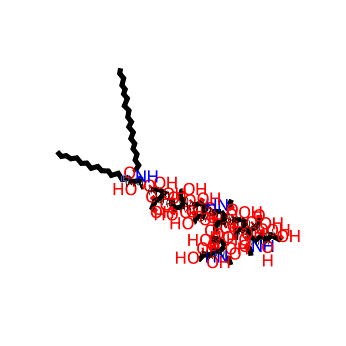 CCCCCCCCCCCCC/C=C/[C@@H](O)[C@H](CO[C@@H]1OC(CO)[C@@H](O[C@@H]2OC(CO)[C@H](O[C@@H]3OC(CO)[C@H](O)[C@H](O[C@@H]4OC(CO[C@]5(C(=O)O)CC(O)[C@@H](NC(C)=O)C([C@H](O)[C@H](O)CO)O5)[C@H](O)[C@H](O[C@@H]5OC(CO)[C@H](O)[C@H](O[C@]6(C(=O)O)CC(O)[C@@H](NC(C)=O)C([C@H](O)[C@H](O)CO)O6)C5O)C4NC(C)=O)C3O)[C@H](O)C2O)[C@H](O)C1O)NC(=O)CCCCCCCCCCCCCCCCCCC